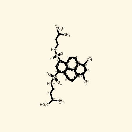 NC(CCNS(=O)(=O)c1cc(S(=O)(=O)NCCC(N)C(=O)O)c2ccc3c(O)cc(O)c4ccc1c2c43)C(=O)O